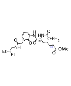 CCC(CC)CNC(=O)Cn1cccc(NC(=O)[C@H](CC/C=C/C(=O)OC)NC(=O)OP)c1=O